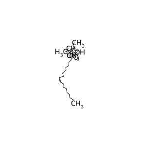 CCCCCCCC/C=C\CCCCCCCOP(=O)(O)C(CCC)[N+](C)(C)C